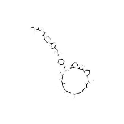 CCNC(=O)CN(C)CC(=O)N1CCN(c2ncc(CNC(=O)O[C@H]3CC[C@H](CC[C@@H]4C[C@@H](OC)[C@H](C)/C=C(\C)[C@@H](O)CC(=O)[C@H](C)C[C@H](C)/C=C/C=C/C=C(\C)[C@@H](OC)CC5CCCC(O5)C(=O)C(=O)N5CCCC[C@H]5C(=O)O4)CC3)cn2)CC1